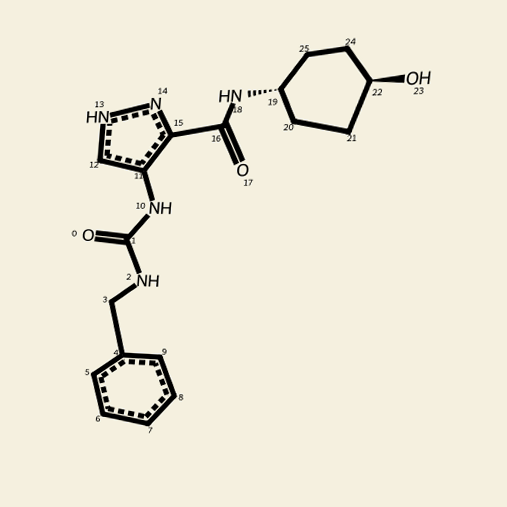 O=C(NCc1ccccc1)Nc1c[nH]nc1C(=O)N[C@H]1CC[C@H](O)CC1